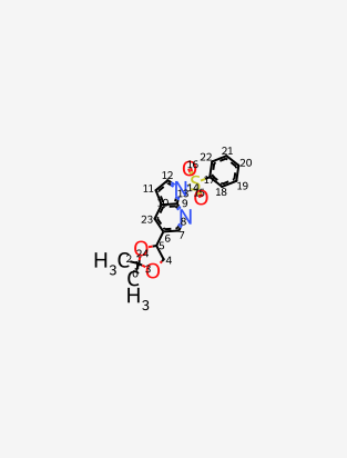 CC1(C)OCC(c2cnc3c(ccn3S(=O)(=O)c3ccccc3)c2)O1